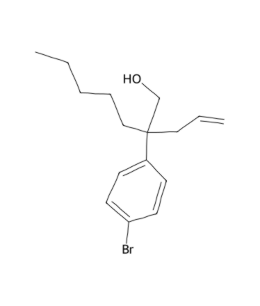 C=CCC(CO)(CCCCC)c1ccc(Br)cc1